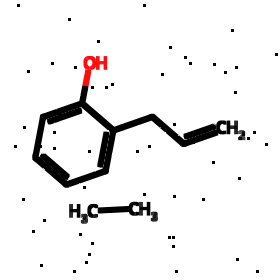 C=CCc1ccccc1O.CC